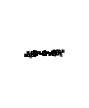 CC1(C(=O)O)OCC(SCc2ccc(CSC3COC(C)(C(=O)O)OC3)cc2)CO1